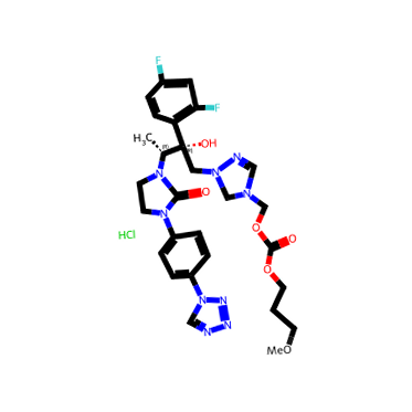 COCCCOC(=O)OCN1C=NN(C[C@](O)(c2ccc(F)cc2F)[C@@H](C)N2CCN(c3ccc(-n4cnnn4)cc3)C2=O)C1.Cl